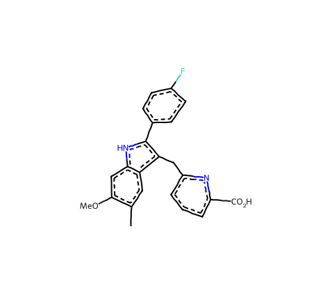 COc1cc2[nH]c(-c3ccc(F)cc3)c(Cc3cccc(C(=O)O)n3)c2cc1C